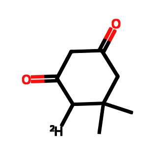 [2H]C1C(=O)CC(=O)CC1(C)C